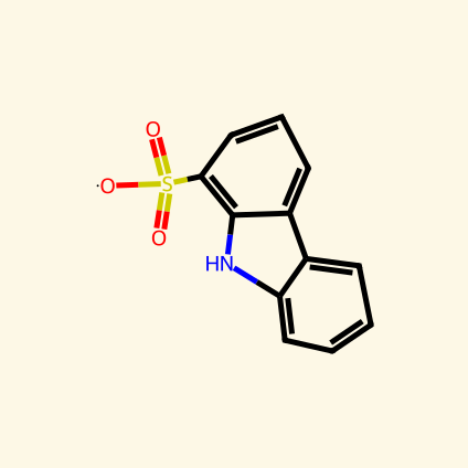 [O]S(=O)(=O)c1cccc2c1[nH]c1ccccc12